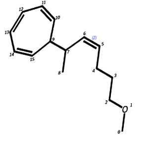 COCCC/C=C\C(C)C1C=CC=CC=C1